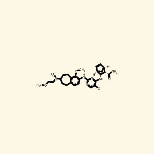 COCCN(C)C1CCc2ccc(Nc3ncc(Cl)c(N[C@H]4[C@@H](C(N)=O)[C@@H]5C=C[C@H]4C5)n3)c(OC)c2CC1